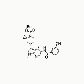 Cc1c(NC(=O)c2cccc(C#N)c2)cnc2c1c(C1CCN(C(=O)OC(C)(C)C)C3(CC3)C1)cn2C